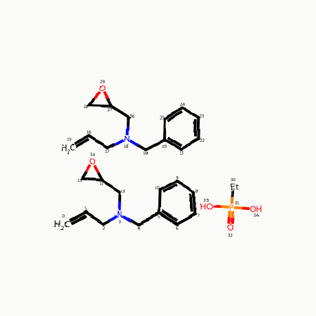 C=CCN(Cc1ccccc1)CC1CO1.C=CCN(Cc1ccccc1)CC1CO1.CCP(=O)(O)O